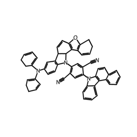 N#Cc1cc(-n2c3ccccc3c3c4ccccc4ccc32)c(C#N)cc1N1c2ccc(N(C3=CCCC=C3)C3=CC=CCC3)cc2C2C=Cc3oc4c(c3C21)C=CCC4